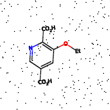 CCOc1cc(C(=O)O)cnc1C(=O)O